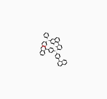 C1=CC2=CC=CC(c3ccc(N(C4=CC=CC5c6cccc7cc(N(c8ccccc8)c8ccccc8)cc(c67)OC45)c4ccc(-c5cccc6ccccc56)cc4)cc3)C2C=C1